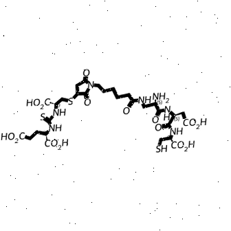 N[C@@H](CNC(=O)CCCCCN1C(=O)CC(SC[C@H](NC(=S)N[C@@H](CCC(=O)O)C(=O)O)C(=O)O)C1=O)C(=O)N[C@@H](CC(=O)O)C(=O)N[C@@H](CS)C(=O)O